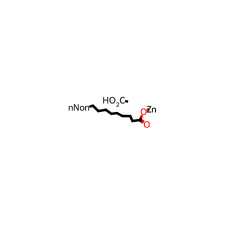 CC(=O)O.CCCCCCCCCCCCCCCCCC(=O)[O][Zn]